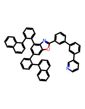 c1cncc(-c2cccc(-c3cccc(-c4nc5c(-c6ccccc6-c6cccc7ccccc67)cc(-c6ccccc6-c6cccc7ccccc67)cc5o4)c3)c2)c1